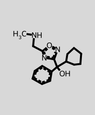 CNCc1nc(C(O)(c2ccccc2)C2CCCCC2)no1